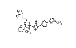 Cn1ccc(-c2ccc(-c3cnc([C@H](CCCCCC(N)=O)NC(=O)C4(C)CCCO4)[nH]3)cc2)n1